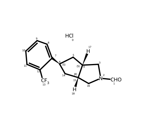 Cl.O=CN1C[C@H]2C[C@H](c3ccccc3C(F)(F)F)C[C@H]2C1